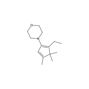 CCC1=C(N2CCOCC2)C=C(C)C1(C)C